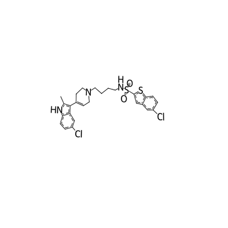 Cc1[nH]c2ccc(Cl)cc2c1C1=CCN(CCCCNS(=O)(=O)c2cc3cc(Cl)ccc3s2)CC1